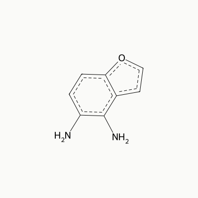 Nc1ccc2occc2c1N